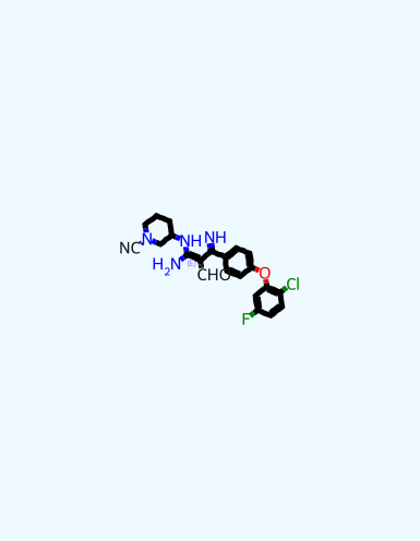 N#CN1CCCC(N/C(N)=C(/C=O)C(=N)c2ccc(Oc3cc(F)ccc3Cl)cc2)C1